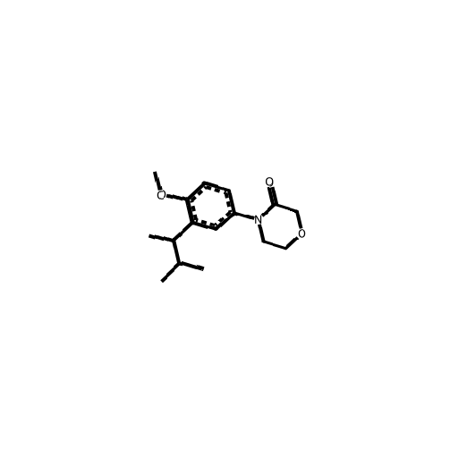 COc1ccc(N2CCOCC2=O)cc1C(C)C(C)C